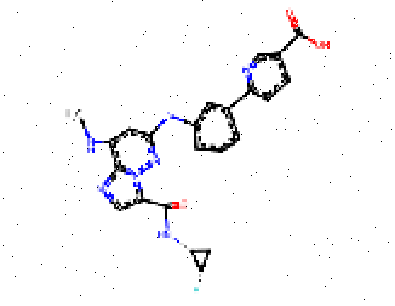 CNc1cc(Nc2cccc(-c3ccc(C(=O)O)cn3)c2)nn2c(C(=O)N[C@@H]3C[C@@H]3F)cnc12